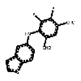 O=Cc1cc(C=O)c(Nc2ccc3sccc3c2)c(F)c1F